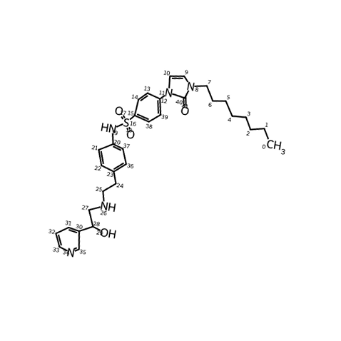 CCCCCCCCn1ccn(-c2ccc(S(=O)(=O)Nc3ccc(CCNCC(O)c4cccnc4)cc3)cc2)c1=O